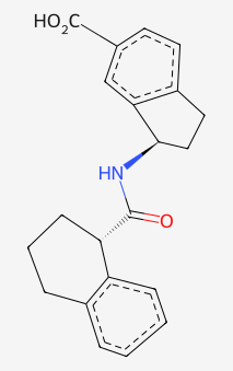 O=C(O)c1ccc2c(c1)[C@H](NC(=O)[C@H]1CCCc3ccccc31)CC2